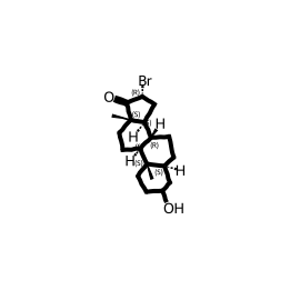 C[C@]12CCC(O)C[C@@H]1CC[C@@H]1[C@@H]2CC[C@]2(C)C(=O)[C@H](Br)C[C@@H]12